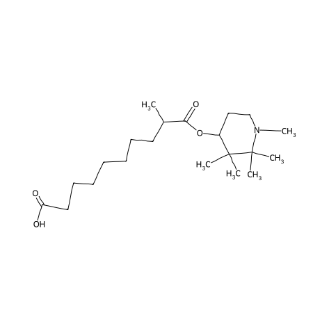 CC(CCCCCCCC(=O)O)C(=O)OC1CCN(C)C(C)(C)C1(C)C